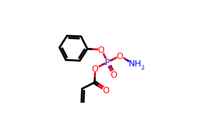 C=CC(=O)OP(=O)(ON)Oc1ccccc1